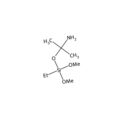 CC[Si](OC)(OC)OC(C)(C)N